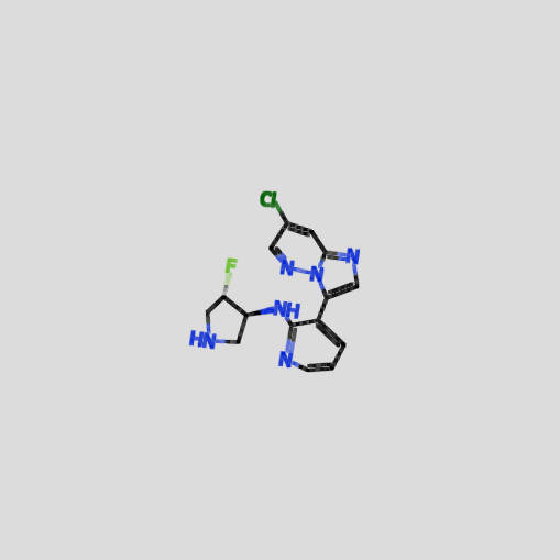 F[C@H]1CNC[C@@H]1Nc1ncccc1-c1cnc2cc(Cl)cnn12